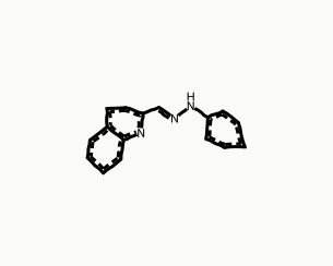 C(=NNc1ccccc1)c1ccc2ccccc2n1